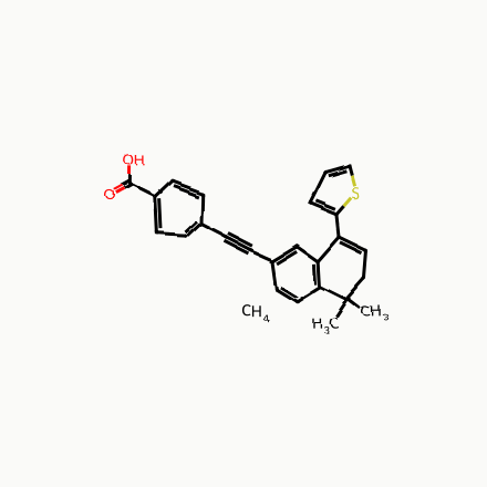 C.CC1(C)CC=C(c2cccs2)c2cc(C#Cc3ccc(C(=O)O)cc3)ccc21